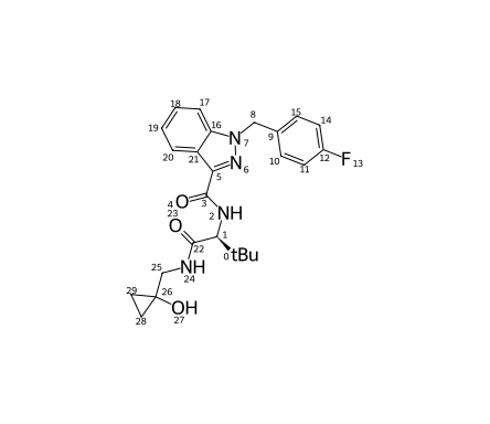 CC(C)(C)[C@H](NC(=O)c1nn(Cc2ccc(F)cc2)c2ccccc12)C(=O)NCC1(O)CC1